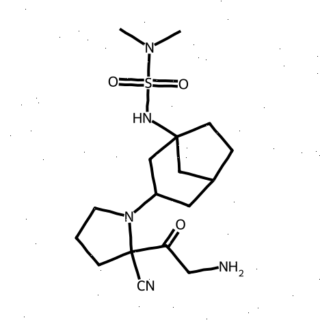 CN(C)S(=O)(=O)NC12CCC(CC(N3CCCC3(C#N)C(=O)CN)C1)C2